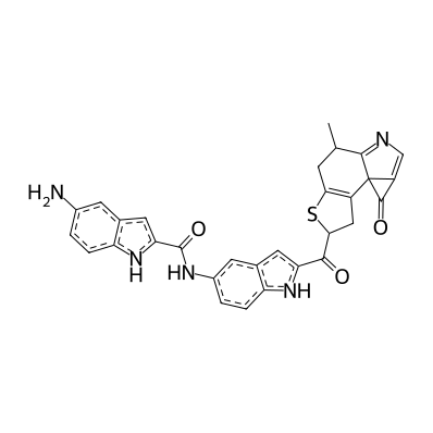 CC1CC2=C(CC(C(=O)c3cc4cc(NC(=O)c5cc6cc(N)ccc6[nH]5)ccc4[nH]3)S2)C23C(=O)C2=CN=C13